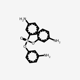 Nc1cccc([O][Ti](=[O])([O]c2cccc(N)c2)[c]2cccc(N)c2)c1